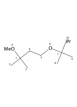 COC(C)(C)CCOC(C)(C)C(C)C